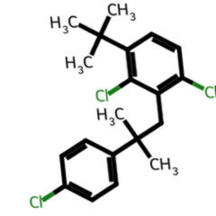 CC(C)(C)c1ccc(Cl)c(CC(C)(C)c2ccc(Cl)cc2)c1Cl